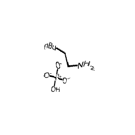 CCCCCCN.[O-][I+3]([O-])([O-])O